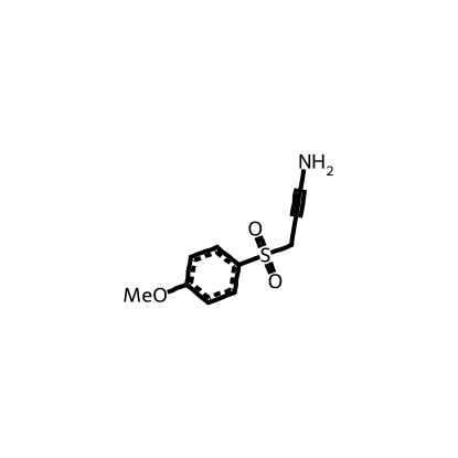 COc1ccc(S(=O)(=O)CC#CN)cc1